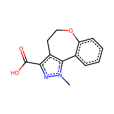 Cn1nc(C(=O)O)c2c1-c1ccccc1OCC2